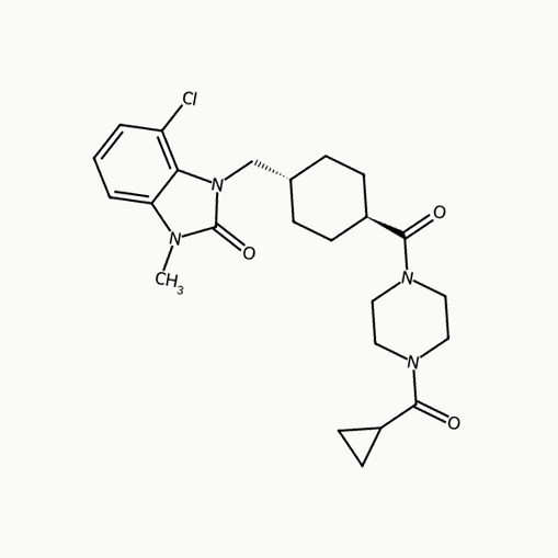 Cn1c(=O)n(C[C@H]2CC[C@H](C(=O)N3CCN(C(=O)C4CC4)CC3)CC2)c2c(Cl)cccc21